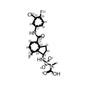 CN(C(=O)O)S(=O)(=O)NC1CCc2c(C(=O)Nc3ccc(F)c(Cl)c3)ccc(F)c21